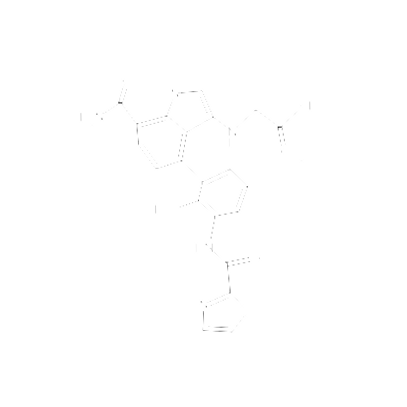 C=C(C)CNc1c[nH]c2c(C(N)=O)ccc(-c3cccc(NC(=O)c4nccs4)c3C)c12